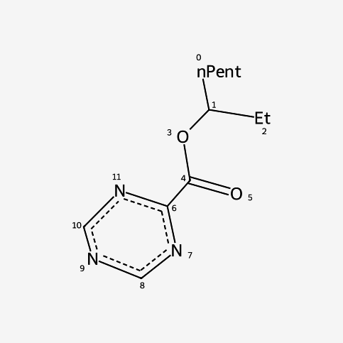 CCCCCC(CC)OC(=O)c1ncncn1